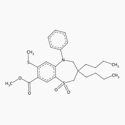 CCCCC1(CCCC)CN(c2ccccc2)c2cc(SC)c(C(=O)OC)cc2S(=O)(=O)C1